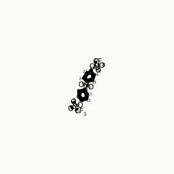 O=S(=O)(c1ccc(OS(=O)(=O)C(F)(F)F)cc1)c1ccc(OS(=O)(=O)C(F)(F)F)cc1